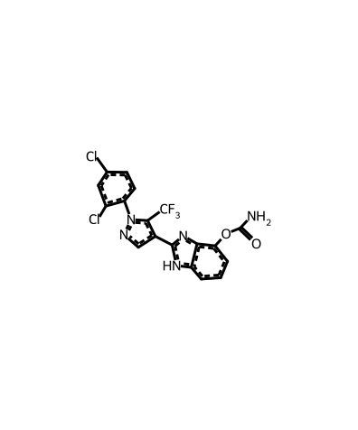 NC(=O)Oc1cccc2[nH]c(-c3cnn(-c4ccc(Cl)cc4Cl)c3C(F)(F)F)nc12